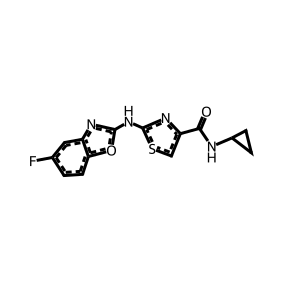 O=C(NC1CC1)c1csc(Nc2nc3cc(F)ccc3o2)n1